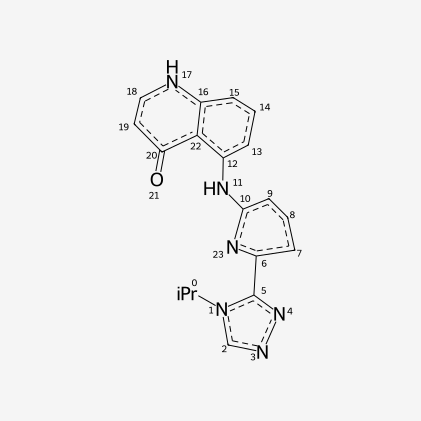 CC(C)n1cnnc1-c1cccc(Nc2cccc3[nH]ccc(=O)c23)n1